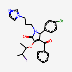 CC(I)C(C)OC1=C(C(=O)c2ccccc2)C(c2ccc(Br)cc2)N(CCCn2ccnc2)C1=O